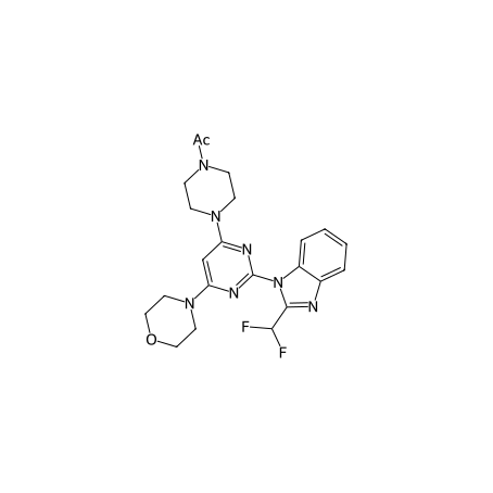 CC(=O)N1CCN(c2cc(N3CCOCC3)nc(-n3c(C(F)F)nc4ccccc43)n2)CC1